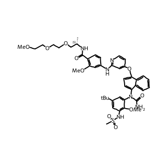 COCCOCCOC[C@H](C)NC(=O)c1ccc(Nc2cc(Oc3ccc(N(C(N)=O)c4cc(C(C)(C)C)cc(NS(C)(=O)=O)c4OC)c4ccccc34)ccn2)cc1OC